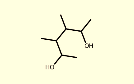 CC(O)C(C)C(C)C(C)O